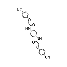 N#Cc1ccc(OCC(=O)N[C@H]2CC[C@H](NC(=O)COc3ccc(C#N)cc3)CC2)cc1